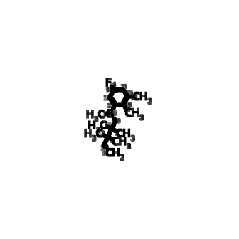 C=CC(C)(C)C(C)(C)CB(C)c1cc(F)cc(C)c1C